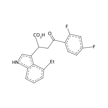 CCc1cccc2[nH]cc(C(CC(=O)c3ccc(F)cc3F)C(=O)O)c12